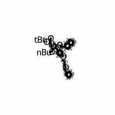 CCCCOC1CN(C(=O)OC(C)(C)C)CC(OCc2ccc3ccccc3c2)C1c1ccc(OCCCOCc2ccccc2)cc1